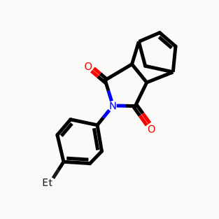 CCc1ccc(N2C(=O)C3C4C=CC(C4)C3C2=O)cc1